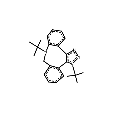 CC(C)(C)N1Cc2ccccc2-c2c(nnn2C(C)(C)C)-c2ccccc21